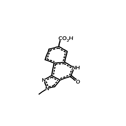 Cn1cc2c(=O)[nH]c3cc(C(=O)O)ccc3c2n1